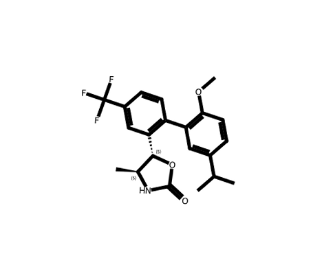 COc1ccc(C(C)C)cc1-c1ccc(C(F)(F)F)cc1[C@@H]1OC(=O)N[C@H]1C